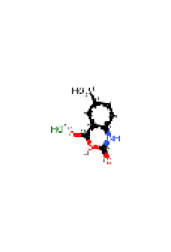 Cl.O=c1[nH]c2ccc(S(=O)(=O)O)cc2c(=O)o1